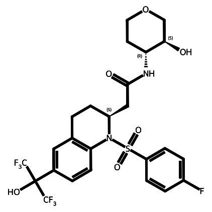 O=C(C[C@@H]1CCc2cc(C(O)(C(F)(F)F)C(F)(F)F)ccc2N1S(=O)(=O)c1ccc(F)cc1)N[C@@H]1CCOC[C@H]1O